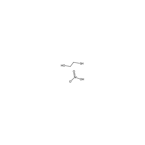 O=[N+]([O-])O.OCCS